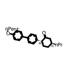 CCCCCOc1ccc(-c2ccc([C@H]3CC[C@H](CCC)CC3=O)cc2)cc1